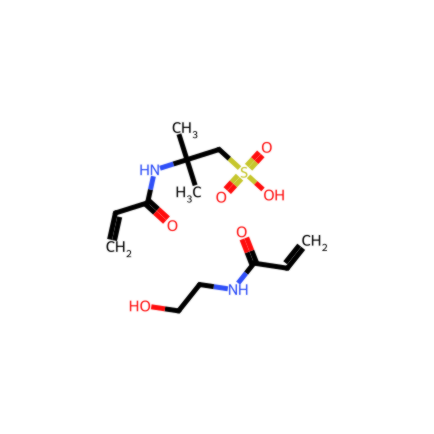 C=CC(=O)NC(C)(C)CS(=O)(=O)O.C=CC(=O)NCCO